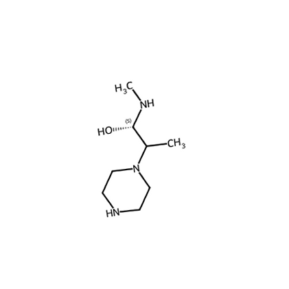 CN[C@@H](O)C(C)N1CCNCC1